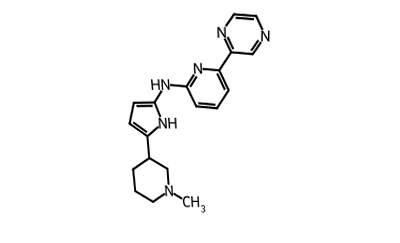 CN1CCCC(c2ccc(Nc3cccc(-c4cnccn4)n3)[nH]2)C1